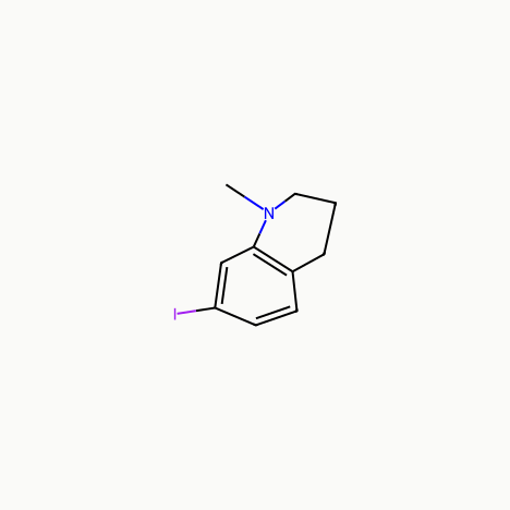 CN1CCCc2ccc(I)cc21